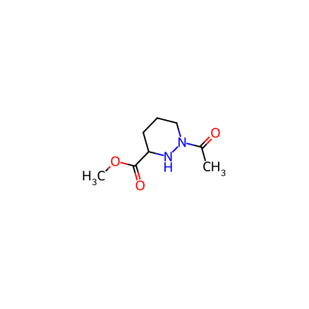 COC(=O)C1CCCN(C(C)=O)N1